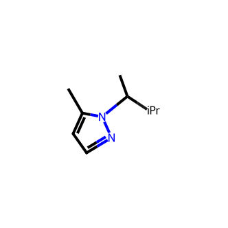 Cc1ccnn1C(C)C(C)C